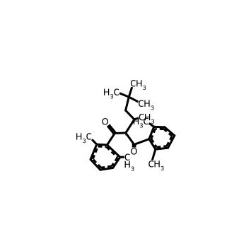 Cc1cccc(C)c1C(=O)[C](C(=O)c1c(C)cccc1C)C(C)CC(C)(C)C